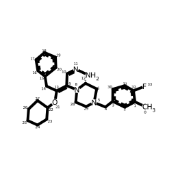 Cc1cc(CN2CCN(C(/C=N\N)=C(/Cc3ccccc3)OC3CCCCC3)CC2)ccc1F